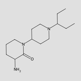 CCC(CC)N1CCC(N2CCCC(N)C2=O)CC1